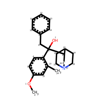 COc1ccc(C(O)(Cc2ccccc2)C2CN3CCC2CC3)c(C)c1